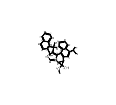 COC1(O)C2c3cc(C(C)C)c4ccccc4c3-c3c4c(nc[n+]3C21)-c1ccc2ccccc2c1C4(C)C